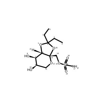 CCC1(CC)O[C@H]2[C@H](O)[C@H](O)CO[C@@]2(COS(N)(=O)=O)O1